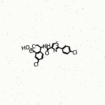 O=C(O)CC(NC(=O)c1csc(-c2ccc(Cl)cc2)n1)c1ccc(Cl)cc1Cl